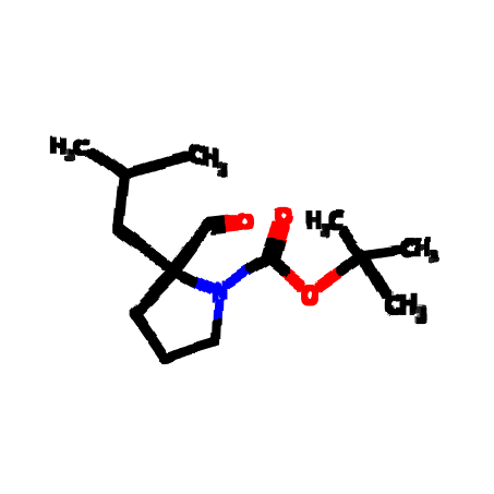 CC(C)CC1(C=O)CCCN1C(=O)OC(C)(C)C